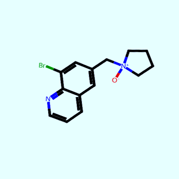 [O-][N+]1(Cc2cc(Br)c3ncccc3c2)CCCC1